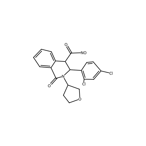 O=NC(=O)C1c2ccccc2C(=O)N(C2CCOC2)C1c1ccc(Cl)cc1Cl